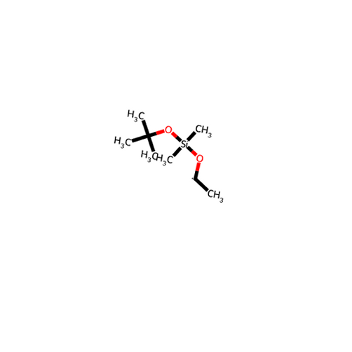 C[CH]O[Si](C)(C)OC(C)(C)C